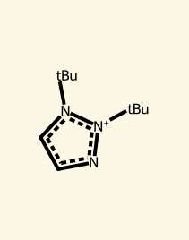 CC(C)(C)n1ccn[n+]1C(C)(C)C